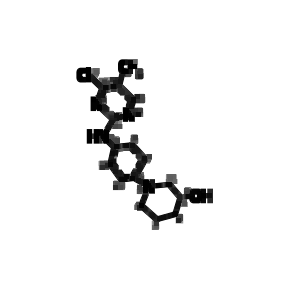 OC1CCCN(c2ccc(Nc3ncc(C(F)(F)F)c(Cl)n3)cc2)C1